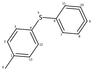 Cc1ccc(SC2=CC=C=C=C2)cc1